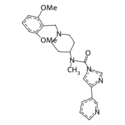 COc1cccc(OC)c1CN1CCC(N(C)C(=O)n2cnc(-c3cccnc3)c2)CC1